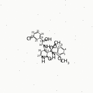 COc1cccc(OC)c1NC(=O)c1c(NC[C@@H](O)c2cccc(Cl)c2)cc[nH]c1=O